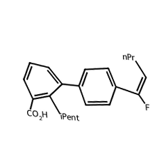 CCC/C=C(/F)c1ccc(-c2cccc(C(=O)O)c2C(C)CCC)cc1